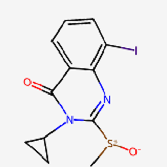 C[S+]([O-])c1nc2c(I)cccc2c(=O)n1C1CC1